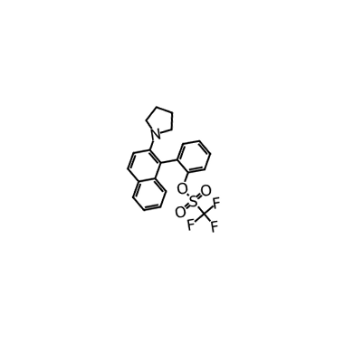 O=S(=O)(Oc1ccccc1-c1c(N2CCCC2)ccc2ccccc12)C(F)(F)F